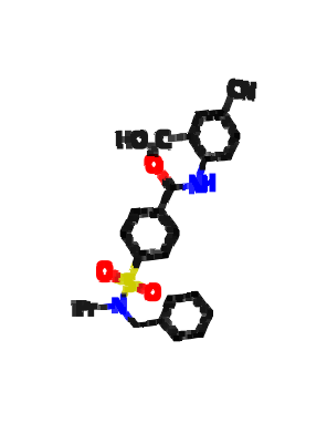 CC(C)N(Cc1ccccc1)S(=O)(=O)c1ccc(C(=O)Nc2ccc(C#N)cc2C(=O)O)cc1